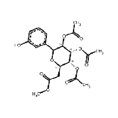 COC(=O)C[C@H]1OC(c2cccc(O)c2)[C@@H](OC(C)=O)[C@H](OC(C)=O)[C@@H]1OC(C)=O